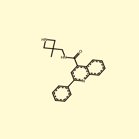 CC1(CNC(=O)c2cc(-c3ccccc3)nc3ccccc23)CNC1